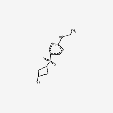 CCNc1ccc(S(=O)(=O)N2CC(S)C2)cn1